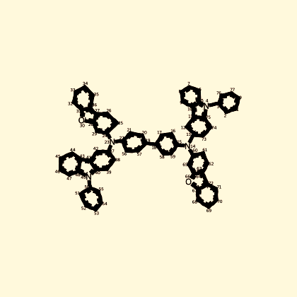 c1ccc(-n2c3ccccc3c3cc(N(c4ccc(-c5ccc(N(c6ccc7c(c6)oc6ccccc67)c6ccc7c(c6)c6ccccc6n7-c6ccccc6)cc5)cc4)c4ccc5c(c4)oc4ccccc45)ccc32)cc1